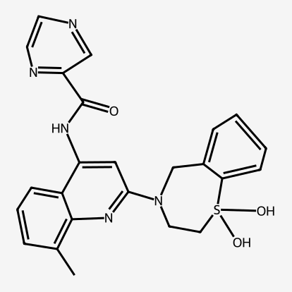 Cc1cccc2c(NC(=O)c3cnccn3)cc(N3CCS(O)(O)c4ccccc4C3)nc12